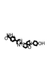 NC(=O)c1ccc(-c2cnc(N3CCCC4(CCN([C@H]5CC[C@H](O)CC5)C4=O)C3)nc2)cc1